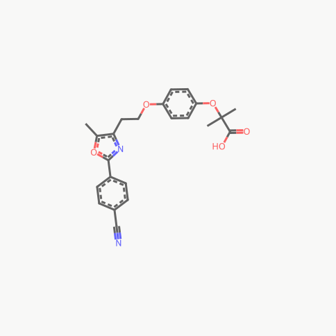 Cc1oc(-c2ccc(C#N)cc2)nc1CCOc1ccc(OC(C)(C)C(=O)O)cc1